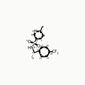 Cc1ccc(S(=O)(=O)N[C@@H](C)c2ccc(C(F)(F)F)cc2)cn1